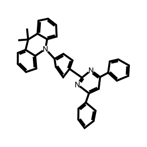 CC1(C)c2ccccc2N(c2ccc(-c3nc(-c4ccccc4)cc(-c4ccccc4)n3)cc2)c2ccccc21